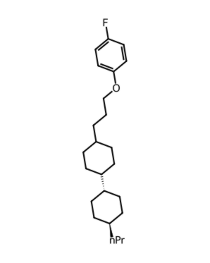 CCC[C@H]1CC[C@H](C2CCC(CCCOc3ccc(F)cc3)CC2)CC1